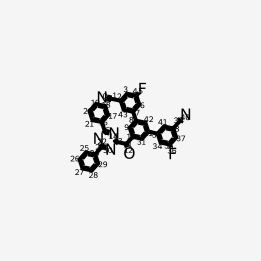 N#Cc1cc(F)cc(-c2cc(C(=O)c3nc(-c4ccccc4)nc(-c4ccccc4)n3)cc(-c3cc(F)cc(C#N)c3)c2)c1